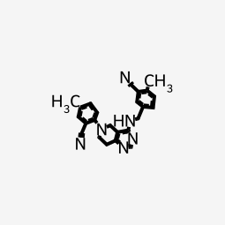 Cc1ccc(N2CCc3ncnc(NCc4ccc(C)c(C#N)c4)c3C2)c(C#N)c1